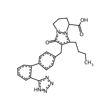 CCCCc1c(Cc2ccc(-c3ccccc3-c3nnn[nH]3)cc2)c(=O)n2n1C(C(=O)O)CCC2